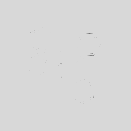 C1=CC[C]([Zr]([CH2]c2ccccc2)([CH2]c2ccccc2)[O]c2ccccc2)=C1